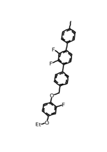 CCOc1ccc(OCc2ccc(-c3ccc(-c4ccc(C)cc4)c(F)c3F)cc2)c(F)c1